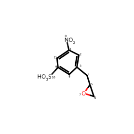 O=[N+]([O-])c1cc(CC2CO2)cc(S(=O)(=O)O)c1